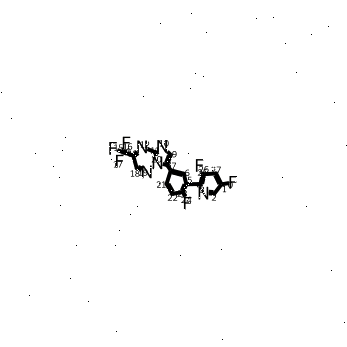 Fc1cnc(-c2cc(-c3cnc4nc(C(F)(F)F)cnn34)ccc2F)c(F)c1